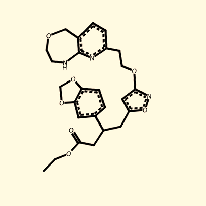 CCOC(=O)CC(Cc1cc(OCCc2ccc3c(n2)NCCOC3)no1)c1ccc2c(c1)OCO2